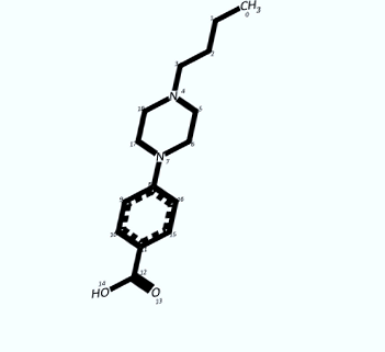 CCCCN1CCN(c2ccc(C(=O)O)cc2)CC1